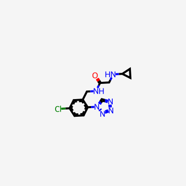 O=C(CNC1CC1)NCc1cc(Cl)ccc1-n1cnnn1